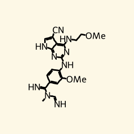 COCCNc1nc(Nc2ccc(C(=N)N(C)C=N)cc2OC)nc2[nH]cc(C#N)c12